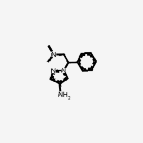 CN(C)CC(c1ccccc1)n1cc(N)cn1